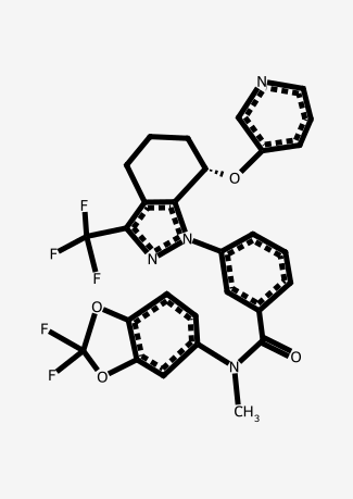 CN(C(=O)c1cccc(-n2nc(C(F)(F)F)c3c2[C@@H](Oc2cccnc2)CCC3)c1)c1ccc2c(c1)OC(F)(F)O2